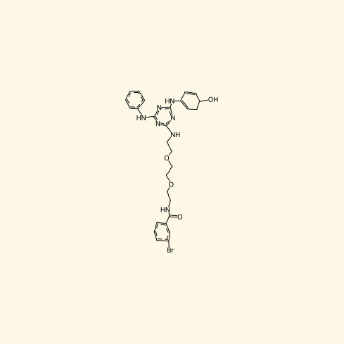 O=C(NCCOCCOCCNc1nc(NC2=CCC(O)C=C2)nc(Nc2ccccc2)n1)c1cccc(Br)c1